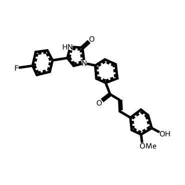 COc1cc(C=CC(=O)c2cccc(-n3cc(-c4ccc(F)cc4)[nH]c3=O)c2)ccc1O